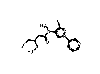 CCC(CC(=O)N(C)c1cn(-c2cccnc2)nc1Cl)SC